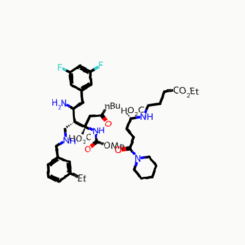 CCCCC(=O)C[C@@](NC(=O)OC)(C(=O)O)[C@H](CNCc1cccc(CC)c1)C(N)Cc1cc(F)cc(F)c1.CCOC(=O)CCCN[C@H](CCC(=O)N1CCCCC1)C(=O)O